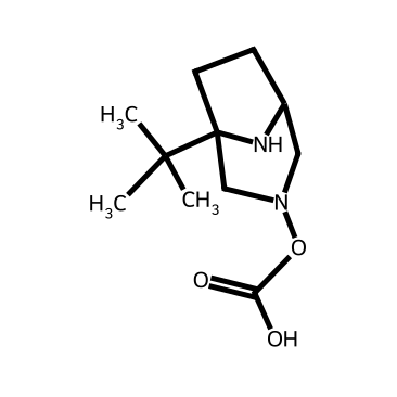 CC(C)(C)C12CCC(CN(OC(=O)O)C1)N2